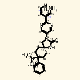 CN(C)[C@]1(c2ccccc2)CC[C@]2(CC1)CN(c1cnc(C(/C=C\N)=C/N)nc1)C(=O)N2